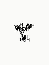 CC1CC(C)(C)N(C(CCCCCNC(=O)O)NC(=O)O)C(C)(C)C1.CC1CC(C)(C)NC(C)(C)C1